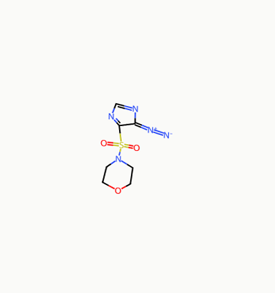 [N-]=[N+]=C1N=CN=C1S(=O)(=O)N1CCOCC1